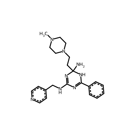 CN1CCN(CCC2(N)N=C(NCc3ccncc3)N=C(c3ccccc3)N2)CC1